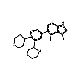 Cc1c[nH]c2ncc(-c3ccc(C4CCOCC4)c(C4COCCN4)c3)c(C)c12